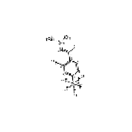 CC(=N[S@@+]([O-])C(C)(C)C)c1ccc(S(F)(F)(F)(F)F)cc1F